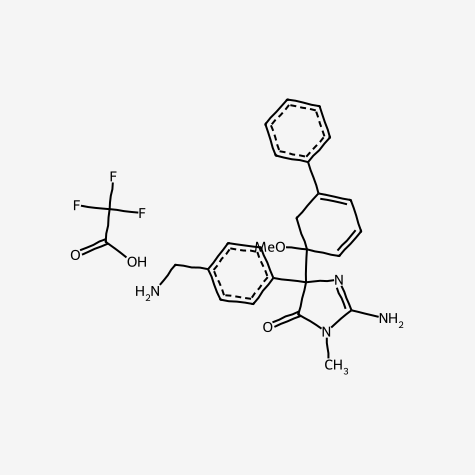 COC1(C2(c3ccc(CN)cc3)N=C(N)N(C)C2=O)C=CC=C(c2ccccc2)C1.O=C(O)C(F)(F)F